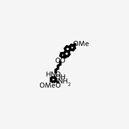 COc1ccc2c(c1)CCC1C2CCC2(C)C(OC(=O)CCCCC(=O)Nc3ccc(OC)c(C(N)=O)c3O)CCC12